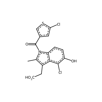 Cc1c(CC(=O)O)c2c(Cl)c(O)ccc2n1C(=O)c1csc(Cl)c1